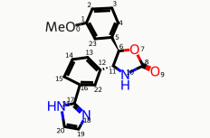 COc1cccc([C@H]2OC(=O)N[C@@H]2c2cccc(-c3ncc[nH]3)c2)c1